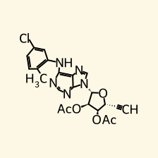 C#C[C@H]1O[C@@H](n2cnc3c(Nc4cc(Cl)ccc4C)ncnc32)[C@H](OC(C)=O)[C@@H]1OC(C)=O